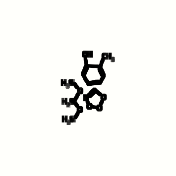 C1=NOOO1.Cc1ccccc1O.[SiH3]O[SiH2]O[SiH3]